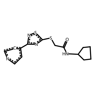 O=C(CSc1nc(-c2ccncc2)ns1)NC1CCCC1